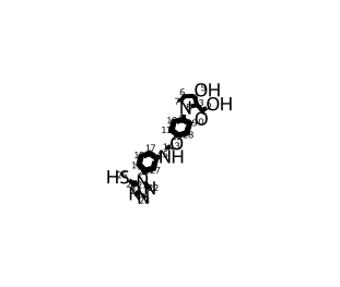 O=C(O)C1C(O)CCN1c1ccc(OCNc2cccc(-n3nnnc3S)c2)cc1